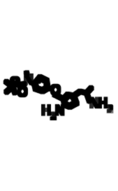 CC(CN)Cc1ccc(N)c(COc2ccc(N(C)C(=O)OC(C)(C)C)cc2)c1